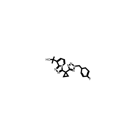 CC(C)(O)c1cccn2c(C3(c4nnn(CC5C=CC(F)=CC5)n4)CC3)nnc12